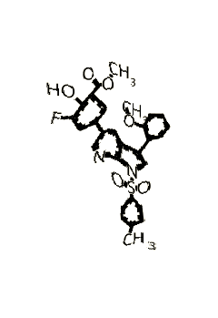 COC(=O)c1cc(-c2cnc3c(c2)c(-c2ccccc2OC)cn3S(=O)(=O)c2ccc(C)cc2)cc(F)c1O